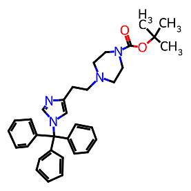 CC(C)(C)OC(=O)N1CCN(CCc2cn(C(c3ccccc3)(c3ccccc3)c3ccccc3)cn2)CC1